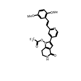 COc1ccc(OC)c(C=Cc2cc(-c3cc4c(n3OC(=O)C(F)(F)F)CCNC4=O)ccn2)c1